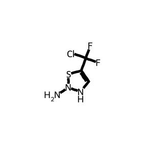 NN1NC=C(C(F)(F)Cl)S1